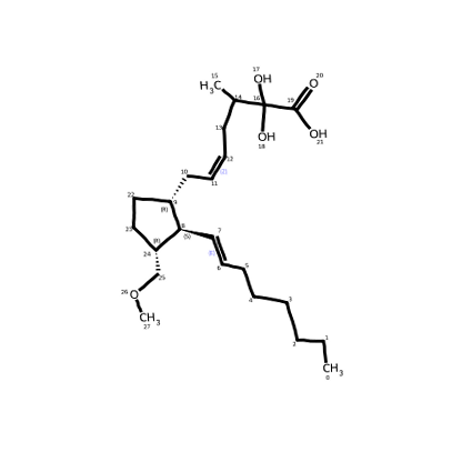 CCCCCC/C=C/[C@@H]1[C@@H](C/C=C\CC(C)C(O)(O)C(=O)O)CC[C@H]1COC